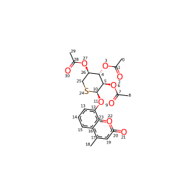 CC(=O)O[C@@H]1[C@@H](OC(C)=O)[C@@H](Oc2cccc3c(C)cc(=O)oc23)SC[C@H]1OC(C)=O